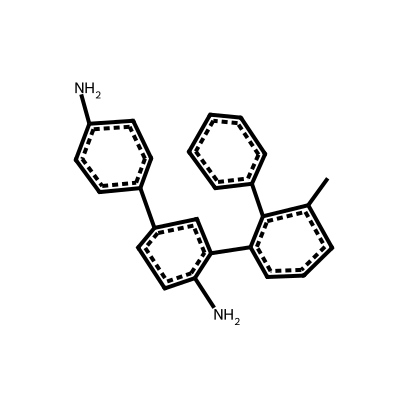 Cc1cccc(-c2cc(-c3ccc(N)cc3)ccc2N)c1-c1ccccc1